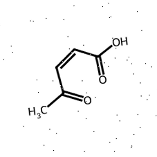 CC(=O)/C=C\C(=O)O